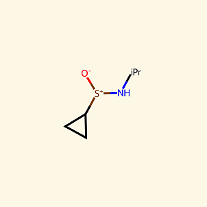 CC(C)N[S+]([O-])C1CC1